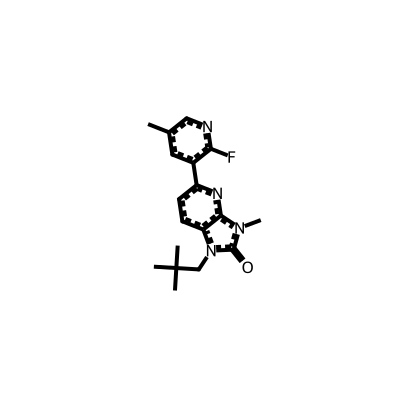 Cc1cnc(F)c(-c2ccc3c(n2)n(C)c(=O)n3CC(C)(C)C)c1